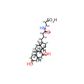 C[C@]12CC[C@@H](O)C[C@H]1C[C@H](O)[C@@H]1[C@@H]2CC[C@]2(C)[C@@H](CCCC(=O)NCCS(=O)(=O)O)CC[C@@H]12